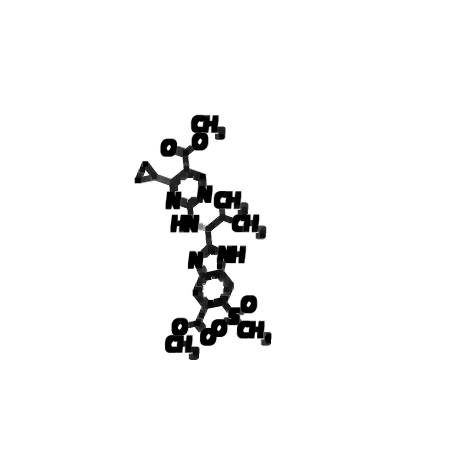 COC(=O)c1cc2nc([C@H](Nc3ncc(C(=O)OC)c(C4CC4)n3)C(C)C)[nH]c2cc1S(C)(=O)=O